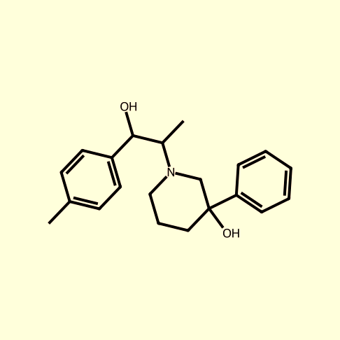 Cc1ccc(C(O)C(C)N2CCCC(O)(c3ccccc3)C2)cc1